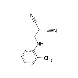 Cc1ccccc1NCC(C#N)C#N